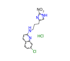 Cl.O=[N+]([O-])c1nc(CCCNc2ccc3ccc(Cl)cc3n2)c[nH]1